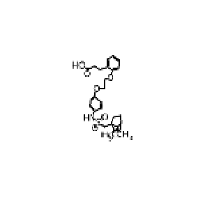 CC1(C)C2CCC1(CS(=O)(=O)Nc1ccc(OCCOc3ccccc3CCC(=O)O)cc1)C(=O)C2